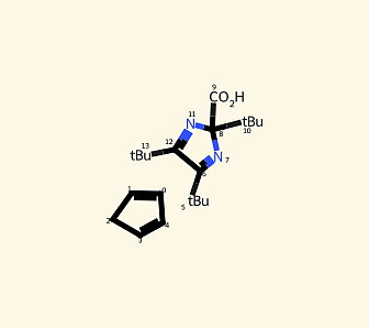 C1=CCC=C1.CC(C)(C)C1=NC(C(=O)O)(C(C)(C)C)N=C1C(C)(C)C